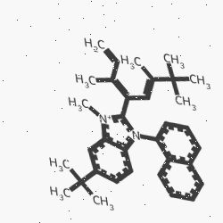 C=C/C(C)=C(\C=C(/C)C(C)(C)C)c1n(-c2cccc3ccccc23)c2ccc(C(C)(C)C)cc2[n+]1C